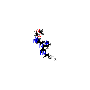 CC(CC(F)(F)F)n1cc(-c2nc(-c3cnn(C[C@@H]4COC(C)(C)O4)c3)cn3nccc23)cn1